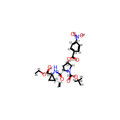 C=C[C@@H]1C[C@]1(NC(=O)[C@@H]1C[C@@H](OC(=O)c2ccc([N+](=O)[O-])cc2)CN1C(=O)OC(C)(C)C)C(=O)OCC